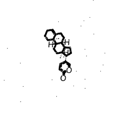 C[C@]12CC[C@H]3[C@@H](CCC4=CCCC[C@@]43C)[C@H]1CC[C@@H]2c1ccc(=O)oc1